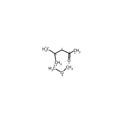 CC(=O)CC(C)C.COC